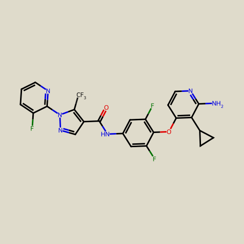 Nc1nccc(Oc2c(F)cc(NC(=O)c3cnn(-c4ncccc4F)c3C(F)(F)F)cc2F)c1C1CC1